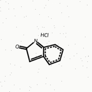 Cl.O=C1C=c2ccccc2=N1